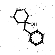 OC1(Cc2ccccc2)CCCCC1